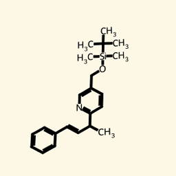 CC(C=Cc1ccccc1)c1ccc(CO[Si](C)(C)C(C)(C)C)cn1